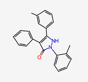 Cc1cccc(-c2[nH]n(-c3ccccc3C)c(=O)c2-c2ccccc2)c1